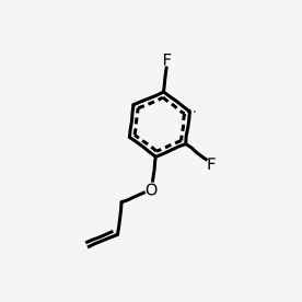 C=CCOc1ccc(F)[c]c1F